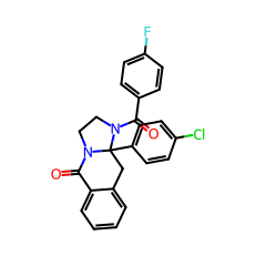 O=C(c1ccc(F)cc1)N1CCN2C(=O)c3ccccc3CC12c1ccc(Cl)cc1